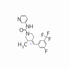 CC1CN(C(=O)Nc2cccnc2)CC/C1=C\c1cc(F)cc(C(F)(F)F)c1